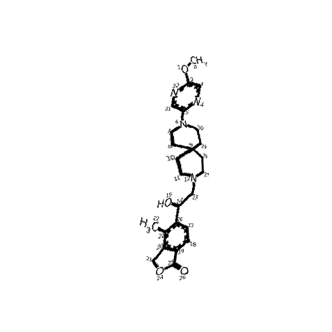 COc1cnc(N2CCC3(CCN(CC(O)c4ccc5c(c4C)COC5=O)CC3)CC2)cn1